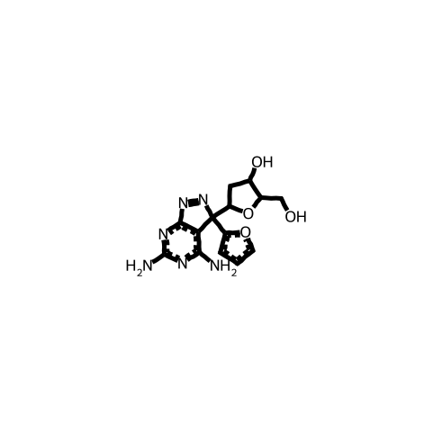 Nc1nc(N)c2c(n1)N=NC2(c1ccco1)C1CC(O)C(CO)O1